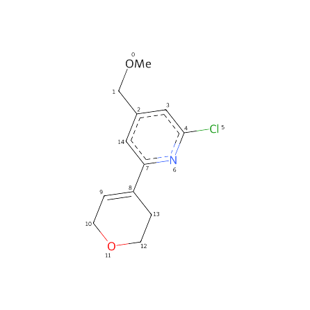 COCc1cc(Cl)nc(C2=CCOCC2)c1